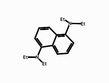 CCN(CC)c1cccc2c(N(CC)CC)cccc12